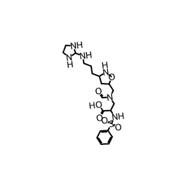 O=CN(CC1CC(CCCNC2NCCN2)NO1)CC(NS(=O)(=O)c1ccccc1)C(=O)O